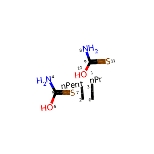 CCCC.CCCCCC.NC(O)=S.NC(O)=S